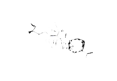 C=C(/C=C\C)CC/C=C1\C(C)(CC)CC=C(c2ccc(C(=C)C)cc2)C1(N)NC